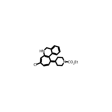 CCOC(=O)N1CCC(=C2C=CC(Cl)=CC3=C2c2ccccc2CN3)CC1